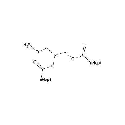 CCCCCCCC(=O)OCC(COP)OC(=O)CCCCCCC